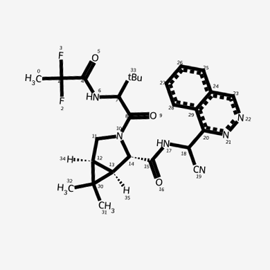 CC(F)(F)C(=O)NC(C(=O)N1C[C@H]2[C@@H]([C@H]1C(=O)NC(C#N)c1nncc3ccccc13)C2(C)C)C(C)(C)C